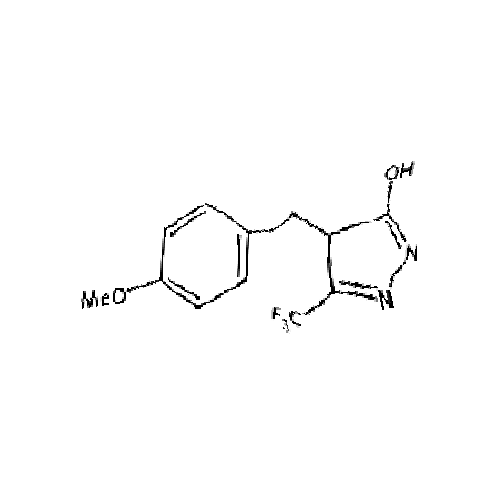 COc1ccc(CC2C(O)=NN=C2C(F)(F)F)cc1